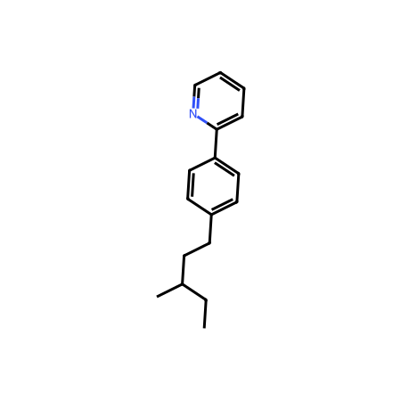 CCC(C)CCc1ccc(-c2ccccn2)cc1